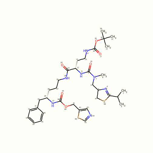 CC(C)C1=NC(CN(C)C(=O)N[C@@H](CCNC(=O)OC(C)(C)C)C(=O)NCCC[C@@H](Cc2ccccc2)NC(=O)OCc2cncs2)CS1